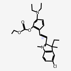 CCOC(=O)Oc1cc(N(CC)CC)ccc1/C=C/C1=[N+](C)c2ccc(Cl)cc2C1(C)CC